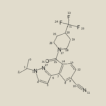 CC(C)n1ccc(-c2cc(C#N)ccc2C(=O)N2CCC(C(F)(F)F)CC2)n1